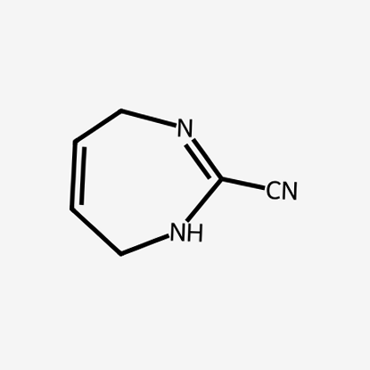 N#CC1=NCC=CCN1